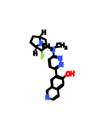 CN(c1ccc(-c2cc3cnccc3cc2O)nn1)[C@H]1C[C@@H]2CC[C@H]([C@H]1F)N2C